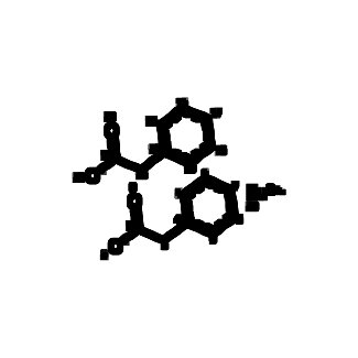 O=C([O-])Cc1ccccc1.O=C([O-])Cc1ccccc1.[Eu+2]